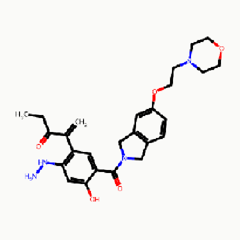 C=C(C(=O)CC)c1cc(C(=O)N2Cc3ccc(OCCN4CCOCC4)cc3C2)c(O)cc1NN